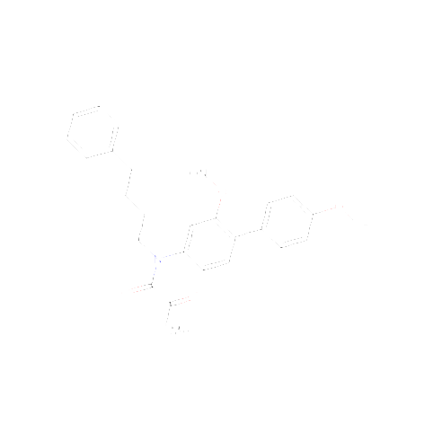 COC(=O)C(=O)N(CCCCc1ccccc1)c1ccc(-c2ccc(OC(F)(F)F)cc2)c(ON=O)c1